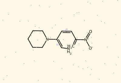 C=C(/C=C\C(=C/N)N1CCCCC1)[N+](=O)[O-]